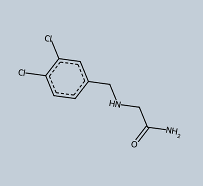 NC(=O)CNCc1ccc(Cl)c(Cl)c1